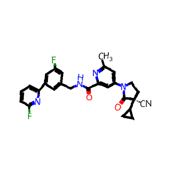 Cc1cc(N2CC[C@@](C#N)(C3CC3)C2=O)cc(C(=O)NCc2cc(F)cc(-c3cccc(F)n3)c2)n1